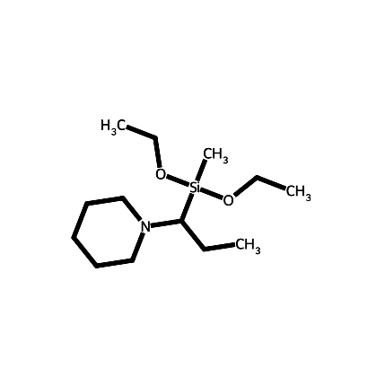 CCO[Si](C)(OCC)C(CC)N1CCCCC1